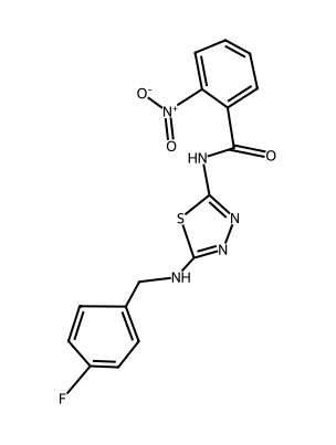 O=C(Nc1nnc(NCc2ccc(F)cc2)s1)c1ccccc1[N+](=O)[O-]